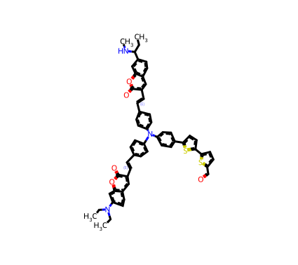 CCC(NC)c1ccc2cc(/C=C/c3ccc(N(c4ccc(/C=C/c5cc6ccc(N(CC)CC)cc6oc5=O)cc4)c4ccc(-c5ccc(-c6ccc(C=O)s6)s5)cc4)cc3)c(=O)oc2c1